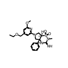 CCOCc1cc(OC)nc(N2C[C@H]3C(c4ccccc4)(C2)NC(=N)N(C)S3(=O)=O)c1